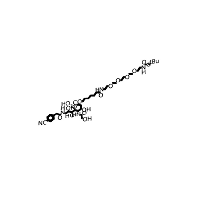 CC(C)(C)OC(=O)NCCOCCOCCOCCOCCNC(=O)CCCCCCO[C@]1(C(=O)O)C[C@H](O)[C@@H](NC(=O)CO)[C@H]([C@H](O)[C@H](O)CNC(=O)Cc2ccc(C#N)cc2)O1